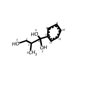 CC(CO)C(O)(O)c1ccccc1